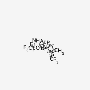 CC(=O)Nc1cc(OCC(F)(F)C(F)(F)F)nn1-c1cc(SCC(F)(F)F)c(C)cc1F